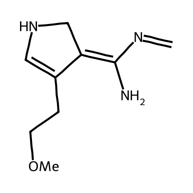 C=N/C(N)=C1\CNC=C1CCOC